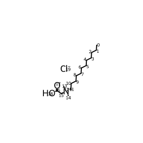 CCCCCCCCCCCC[N+](C)(C)CC(=O)O.[Cl-]